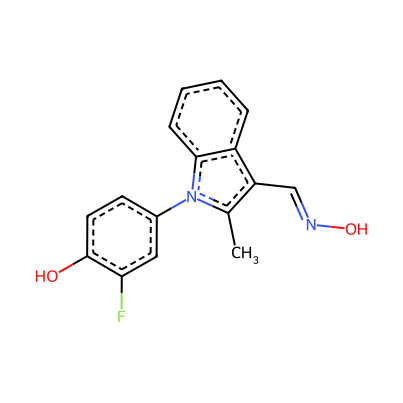 Cc1c(C=NO)c2ccccc2n1-c1ccc(O)c(F)c1